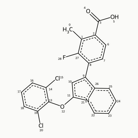 Cc1c(C(=O)O)ccc(-c2cc(Oc3c(Cl)cccc3Cl)n3ccccc23)c1F